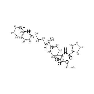 CCOC(=O)C(NC(=O)C1CCCC1)C1(O)CCN(C(=O)NCCCc2ccc3c(n2)NCCC3)CC1